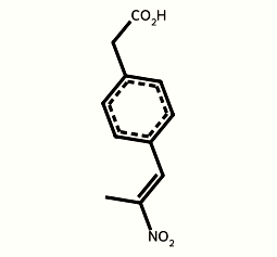 C/C(=C\c1ccc(CC(=O)O)cc1)[N+](=O)[O-]